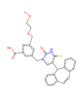 COCCOCc1cc(Cn2cc(C3c4ccccc4C=Cc4ccccc43)c(=S)[nH]c2=O)cc(C(=O)O)c1